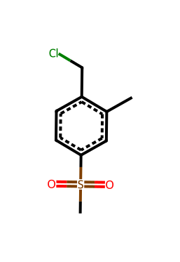 Cc1cc(S(C)(=O)=O)ccc1CCl